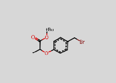 CC(Oc1ccc(CBr)cc1)C(=O)OC(C)(C)C